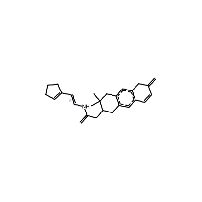 C=C1C=Cc2cc3c(cc2C1)CC(C)(C)C(CC(=C)N/C=C/C1=CCCC1)C3